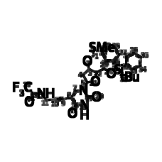 CSCOC1C[C@H](n2cc(C#CCNC(=O)C(F)(F)F)c(=O)[nH]c2=O)O[C@@H]1CO[Si](c1ccccc1)(c1ccccc1)C(C)(C)C